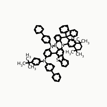 CC(C)(C)c1ccc(N(c2ccc(-c3ccccc3)cc2)c2ccc3c(c2)-c2c4c(cc5c2sc2ccccc25)N2c5cc6c(cc5C(c5ccccc5)(c5ccccc5)c5cccc(c52)B4N3c2ccc(-c3ccccc3)cc2)C(C)(C)CCC6(C)C)cc1